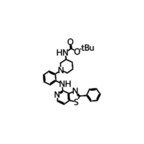 CC(C)(C)OC(=O)NC1CCCN(c2ccccc2Nc2nccc3sc(-c4ccccc4)nc23)C1